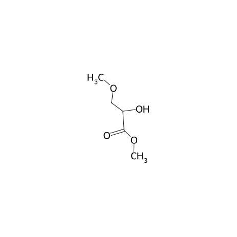 COCC(O)C(=O)OC